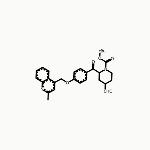 Cc1cc(COc2ccc(C(=O)C3CC([C]=O)CCN3C(=O)OC(C)(C)C)cc2)c2ccccc2n1